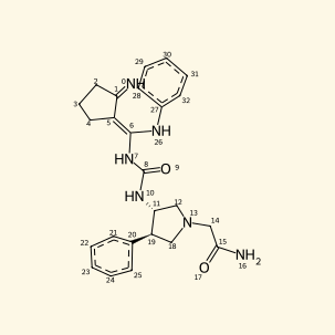 N=C1CCC/C1=C(\NC(=O)N[C@@H]1CN(CC(N)=O)C[C@H]1c1ccccc1)Nc1ccccc1